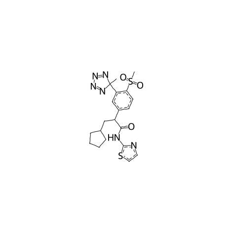 CC1(c2cc(C(CC3CCCC3)C(=O)Nc3nccs3)ccc2S(C)(=O)=O)N=NN=N1